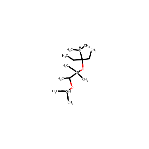 CCC(CC)(O[Si](C)(C)C(C)O[SiH](C)C)[SiH](C)C